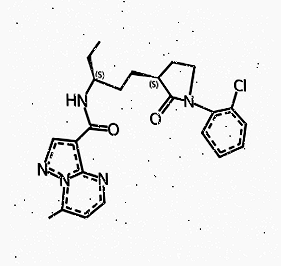 CC[C@@H](CC[C@H]1CCN(c2ccccc2Cl)C1=O)NC(=O)c1cnn2c(C)ccnc12